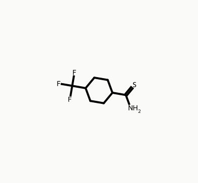 NC(=S)C1CCC(C(F)(F)F)CC1